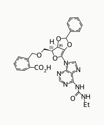 CCNC(=O)Nc1ncnc2c1ncn2C1=C2OC(c3ccccc3)O[C@@H]2[C@H](COCc2ccccc2C(=O)O)O1